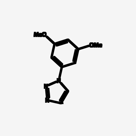 COc1cc(OC)cc(-n2c[c]nn2)c1